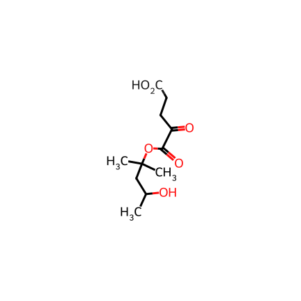 CC(O)CC(C)(C)OC(=O)C(=O)CCC(=O)O